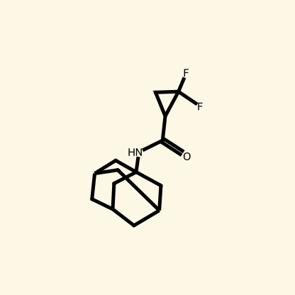 O=C(NC12CC3CC(CC(C3)C1)C2)C1CC1(F)F